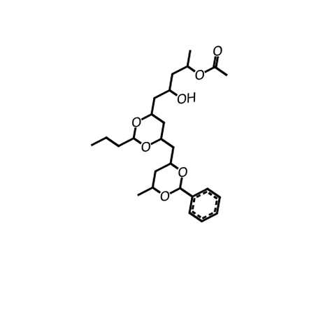 CCCC1OC(CC(O)CC(C)OC(C)=O)CC(CC2CC(C)OC(c3ccccc3)O2)O1